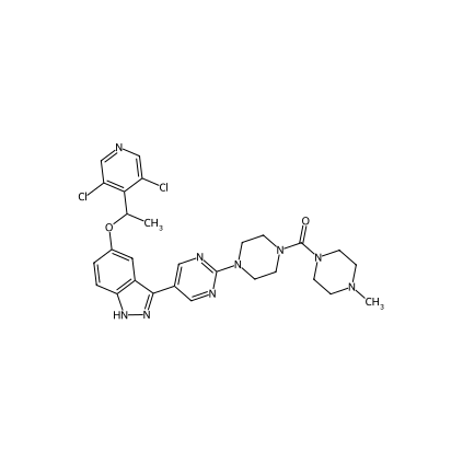 CC(Oc1ccc2[nH]nc(-c3cnc(N4CCN(C(=O)N5CCN(C)CC5)CC4)nc3)c2c1)c1c(Cl)cncc1Cl